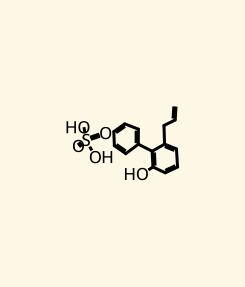 C=CCc1cccc(O)c1-c1ccccc1.O=S(=O)(O)O